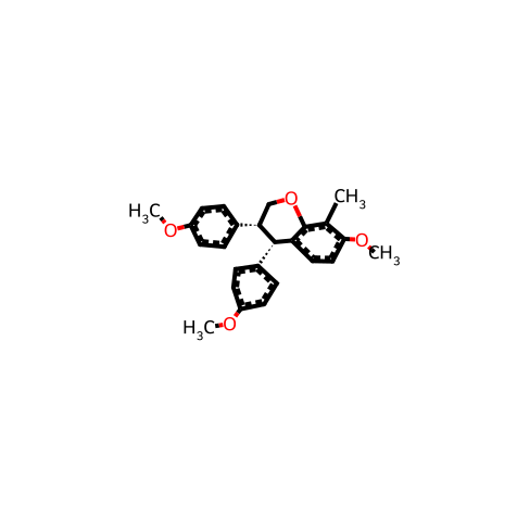 COc1ccc([C@H]2c3ccc(OC)c(C)c3OC[C@H]2c2ccc(OC)cc2)cc1